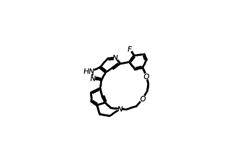 Fc1ccc2cc1-c1cc3c(n[nH]c3cn1)-c1ccc3c(c1)CN(CCOCCO2)CC3